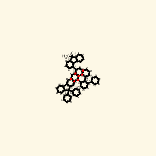 CC1(C)c2ccccc2-c2c(-c3cccc(N(c4ccc5c(c4)C(c4ccccc4)(c4ccccc4)c4ccccc4-5)c4cccc(-c5ccccc5)c4-c4ccccc4-c4ccccc4)c3)cccc21